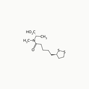 C[C@@H](C(=O)O)N(C)C(=O)CCCC[C@@H]1CCSS1